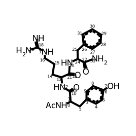 CC(=O)NC(Cc1ccc(O)cc1)C(=O)NC(CCCNC(=N)N)C(=O)NC(Cc1ccccc1)C(N)=O